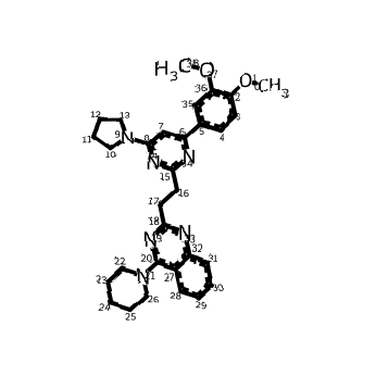 COc1ccc(-c2cc(N3CCCC3)nc(CCc3nc(N4CCCCC4)c4ccccc4n3)n2)cc1OC